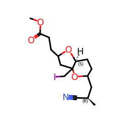 COC(=O)CCC1CC2(CI)OC(C[C@@H](C)C#N)CC[C@@H]2O1